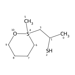 CC(S)CS1(C)CCCCO1